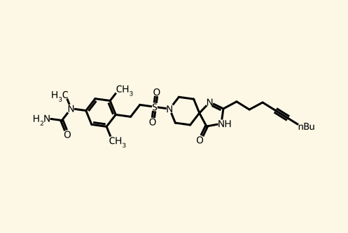 CCCCC#CCCCC1=NC2(CCN(S(=O)(=O)CCc3c(C)cc(N(C)C(N)=O)cc3C)CC2)C(=O)N1